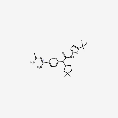 CN(N)/N=C(\N)c1ccc(C(C(=O)Nc2ncc(C(F)(F)F)o2)C2CCC(F)(F)C2)cc1